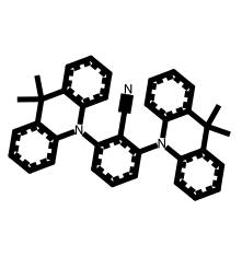 CC1(C)c2ccccc2N(c2cccc(N3c4ccccc4C(C)(C)c4ccccc43)c2C#N)c2ccccc21